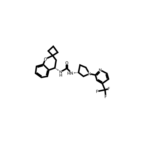 O=C(N[C@@H]1CCN(c2cc(C(F)(F)F)ccn2)C1)N[C@H]1CC2(CCC2)Oc2ccccc21